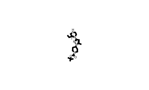 CC[C@@]1(C)CNCCN1c1cc(C)n(C2CCN(C(=O)OC(C)(C)C)CC2)n1